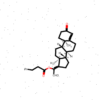 CC(C)CCC(=O)OC(C=O)=C1CC[C@H]2[C@@H]3CCC4=CC(=O)CC[C@]4(C)[C@H]3CC[C@]12C